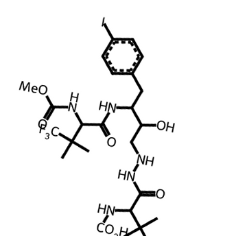 COC(=O)NC(C(=O)NC(Cc1ccc(I)cc1)C(O)CNNC(=O)C(NC(=O)O)C(C)(C)CF)C(C)(C)C(F)(F)F